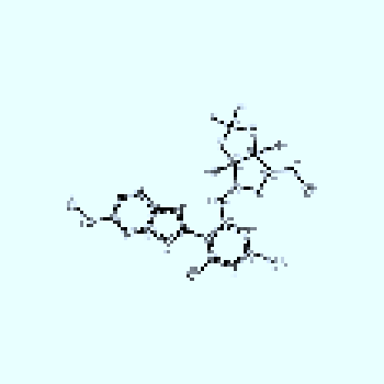 CCOc1ccc2nc(-c3c(Cl)nc(N)nc3NC3C[C@H](CO)[C@H]4OC(C)(C)O[C@@H]34)sc2c1